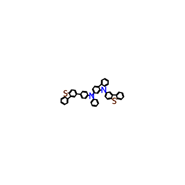 c1ccc(N(c2ccc(-c3ccc4sc5ccccc5c4c3)cc2)c2ccc3c4ccccc4n(-c4ccc5sc6ccccc6c5c4)c3c2)cc1